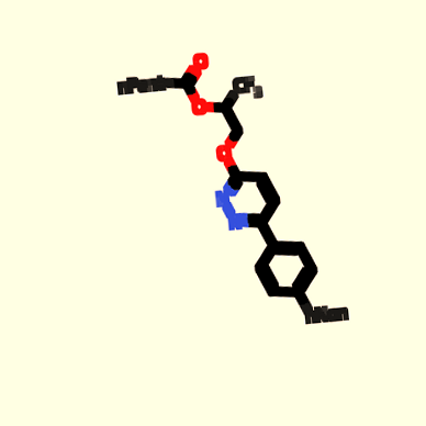 CCCCCCCCCc1ccc(-c2ccc(OCC(OC(=O)CCCCC)C(F)(F)F)nn2)cc1